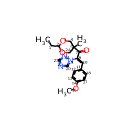 CCC1OCC(C)(C(=O)C(=Cc2ccc(OC)cc2)n2cncn2)CO1